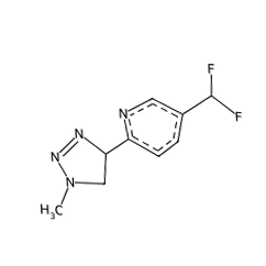 CN1CC(c2ccc(C(F)F)cn2)N=N1